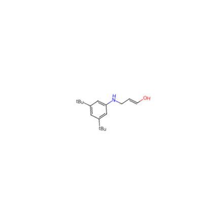 CC(C)(C)c1cc(NCC=CO)cc(C(C)(C)C)c1